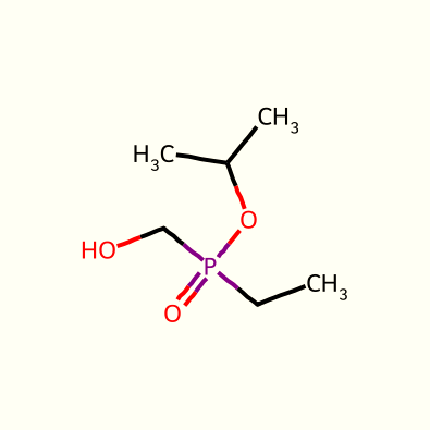 CCP(=O)(CO)OC(C)C